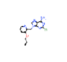 C=CCOc1cccnc1Cn1cnc2c(N)nc(Cl)nc21